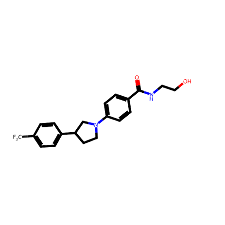 O=C(NCCO)c1ccc(N2CCC(c3ccc(C(F)(F)F)cc3)C2)cc1